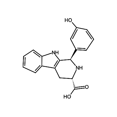 O=C(O)[C@@H]1Cc2c([nH]c3ccccc23)[C@@H](c2cccc(O)c2)N1